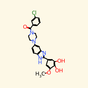 COc1cc(-c2nc3cc(N4CCN(C(=O)c5cccc(Cl)c5)CC4)ccc3[nH]2)cc(O)c1O